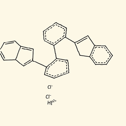 C1=CC2=CC(c3ccccc3-c3ccccc3C3=Cc4ccccc4C3)=CC2C=C1.[Cl-].[Cl-].[Hf+2]